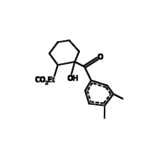 CCOC(=O)C1CCCCC1(O)C(=O)c1ccc(C)c(C)c1